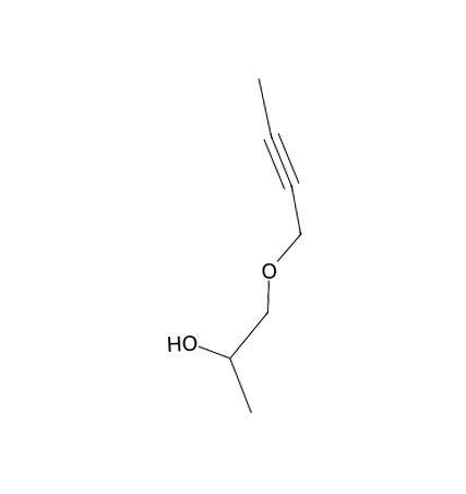 CC#CCOCC(C)O